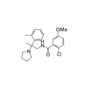 COc1ccc(Cl)c(C(=O)NCC(C)(c2ccccc2C)N2CCCC2)c1